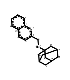 c1ccc2nc(CNC34CC5CC(CC(C5)C3)C4)ccc2c1